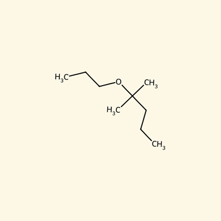 CCCOC(C)(C)CCC